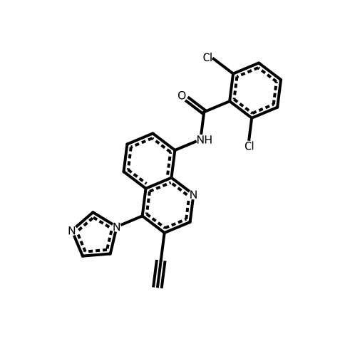 C#Cc1cnc2c(NC(=O)c3c(Cl)cccc3Cl)cccc2c1-n1ccnc1